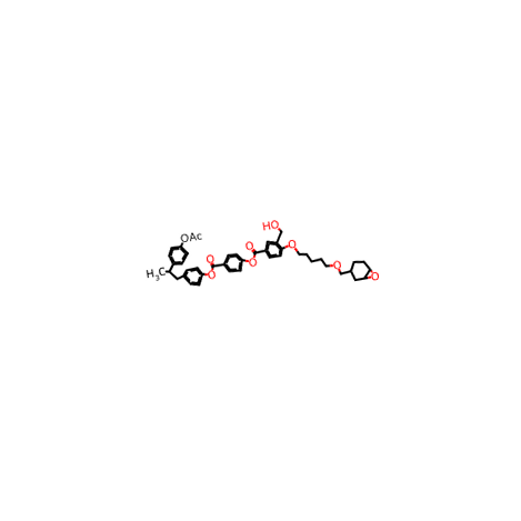 CC(=O)Oc1ccc(C(C)Cc2ccc(OC(=O)c3ccc(OC(=O)c4ccc(OCCCCCOCC5CCC6OC6C5)c(CO)c4)cc3)cc2)cc1